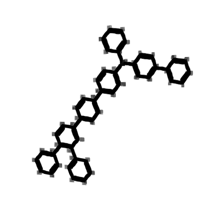 c1ccc(-c2ccc(N(c3ccccc3)c3ccc(-c4ccc(-c5ccc(-c6ccccc6)c(-c6ccccc6)c5)cc4)cc3)cc2)cc1